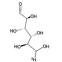 [2H]C(O)[C@@H](O)[C@@H](O)[C@H](O)[C@H](O)C=O